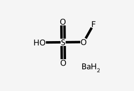 O=S(=O)(O)OF.[BaH2]